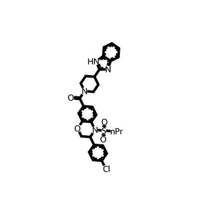 CCCS(=O)(=O)N1c2ccc(C(=O)N3CCC(c4nc5ccccc5[nH]4)CC3)cc2OCC1c1ccc(Cl)cc1